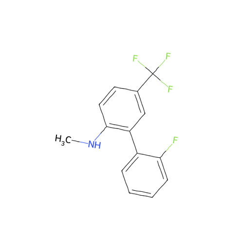 CNc1ccc(C(F)(F)F)cc1-c1ccccc1F